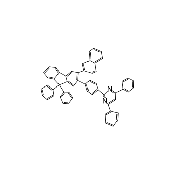 c1ccc(-c2cc(-c3ccccc3)nc(-c3ccc(-c4cc5c(cc4-c4ccc6ccccc6c4)-c4ccccc4C5(c4ccccc4)c4ccccc4)cc3)n2)cc1